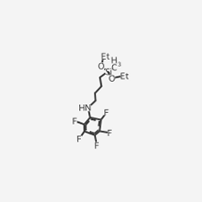 CCO[Si](C)(CCCCNc1c(F)c(F)c(F)c(F)c1F)OCC